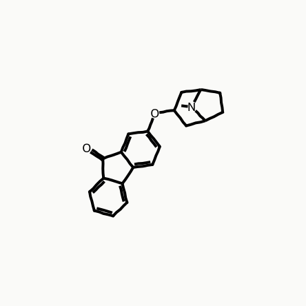 CN1C2CCC1CC(Oc1ccc3c(c1)C(=O)c1ccccc1-3)C2